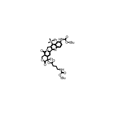 CCC1(OC(=O)CCCNC(=O)OC(C)(C)C)C(=O)OCc2c1cc1n(c2=O)Cc2c-1nc1ccc(NC(=O)OC(C)(C)C)cc1c2[Si](C)(C)C(C)C